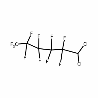 FC(F)(F)C(F)(F)C(F)(F)C(F)(F)C(F)(F)C(Cl)Cl